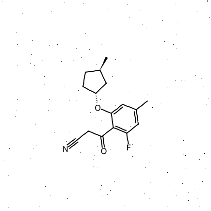 Cc1cc(F)c(C(=O)CC#N)c(O[C@@H]2CC[C@@H](C)C2)c1